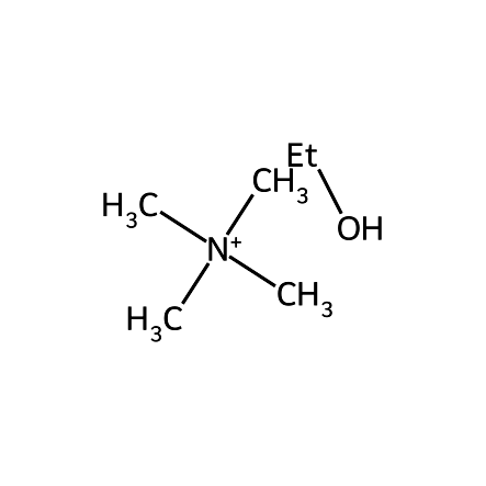 CCO.C[N+](C)(C)C